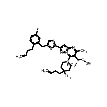 C=CCCc1ccc(F)cc1Cc1cnc(-c2cc3nc(C)c([C@H](OC(C)(C)C)C(=O)OCC)c(N4CCC(C)(CCC=C)CC4)n3n2)s1